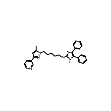 Cc1cc(-c2cccnc2)nn1CCCCCSc1nc(-c2ccccc2)c(-c2ccccc2)[nH]1